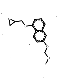 CCOCOc1ccc2c(OCC3CO3)cccc2c1